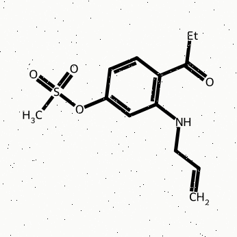 C=CCNc1cc(OS(C)(=O)=O)ccc1C(=O)CC